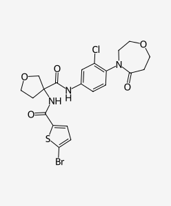 O=C(NC1(C(=O)Nc2ccc(N3CCOCCC3=O)c(Cl)c2)CCOC1)c1ccc(Br)s1